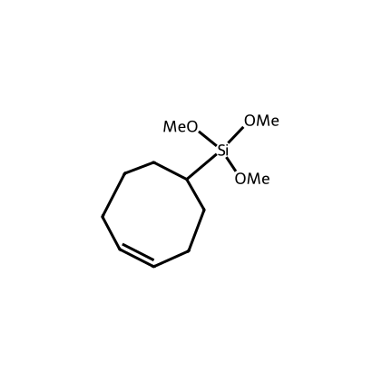 CO[Si](OC)(OC)C1CCC=CCCC1